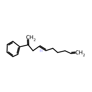 C=CCCC/C=C/CC(=C)c1ccccc1